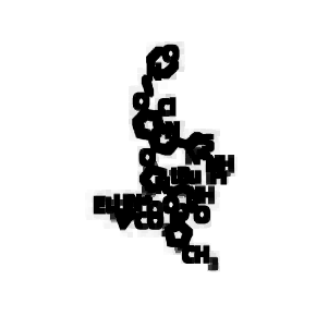 CC[C@@H]1C[C@]1(NC(=O)[C@@H]1C[C@@H](Oc2cc(-c3csc(NC(C)C)n3)nc3c(Cl)c(OCCN4CCOCC4)ccc23)CN1C(=O)[C@@H](NC(=O)O[C@H]1CC[C@@H](C)C1)C(C)(C)C)C(=O)O